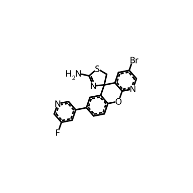 NC1=NC2(CS1)c1cc(-c3cncc(F)c3)ccc1Oc1ncc(Br)cc12